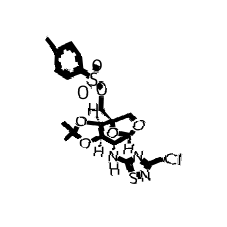 Cc1ccc(S(=O)(=O)OC[C@@]23CO[C@@H](O2)[C@H](Nc2nc(Cl)ns2)[C@H]2OC(C)(C)O[C@H]23)cc1